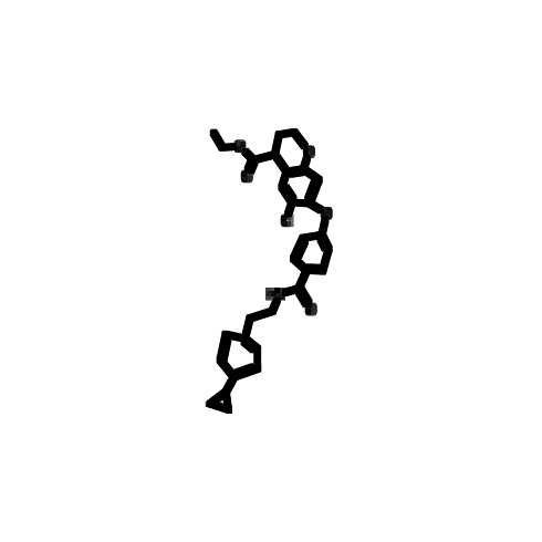 CCOC(=O)C1CCOc2cc(Oc3ccc(C(=O)NCCc4ccc(C5CC5)cc4)cc3)c(Cl)cc21